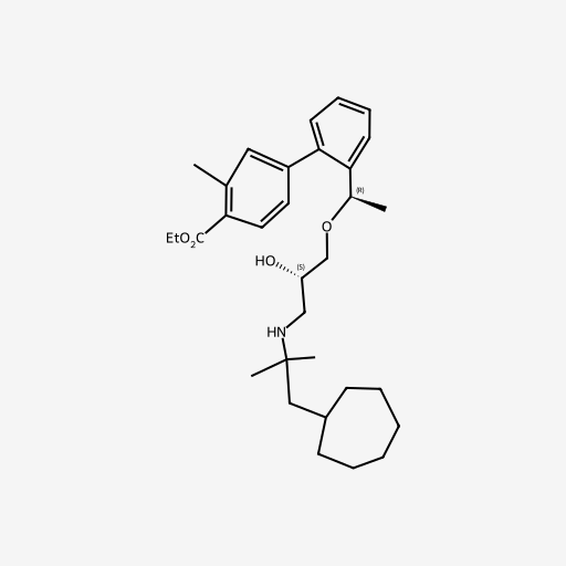 CCOC(=O)c1ccc(-c2ccccc2[C@@H](C)OC[C@@H](O)CNC(C)(C)CC2CCCCCC2)cc1C